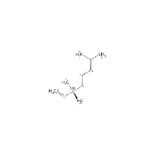 C=C[C@](C)(CCC=C(C)C)N=O